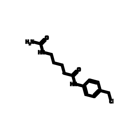 NC(=O)NCCC[CH]C(=O)Nc1ccc(CCl)cc1